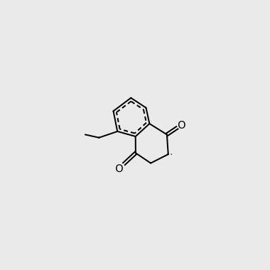 CCc1cccc2c1C(=O)C[CH]C2=O